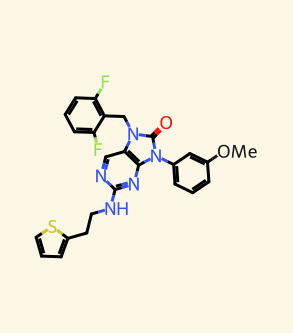 COc1cccc(-n2c(=O)n(Cc3c(F)cccc3F)c3cnc(NCCc4cccs4)nc32)c1